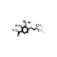 CN(C)CCc1ccc(C(=O)O)c(N)c1[N+](=O)[O-]